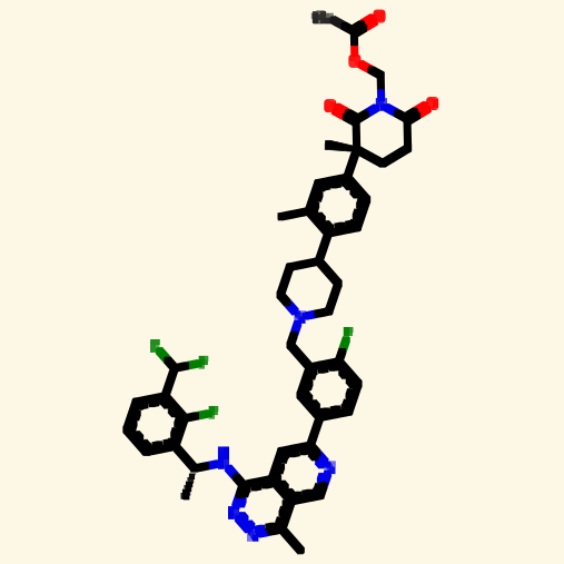 Cc1cc([C@@]2(C)CCC(=O)N(COC(=O)C(C)(C)C)C2=O)ccc1C1CCN(Cc2cc(-c3cc4c(N[C@H](C)c5cccc(C(F)F)c5F)nnc(C)c4cn3)ccc2F)CC1